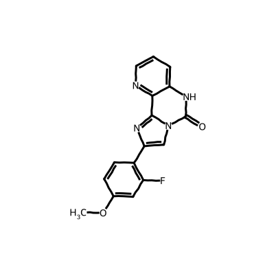 COc1ccc(-c2cn3c(=O)[nH]c4cccnc4c3n2)c(F)c1